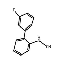 N#CNc1ccccc1-c1cccc(F)c1